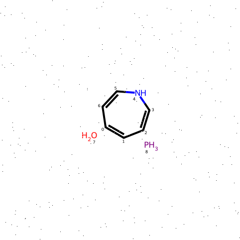 C1=CC=CNC=C1.O.P